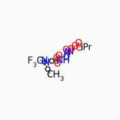 Cc1ccc(-c2cc(C(F)(F)F)nn2-c2ccc(S(=O)(=O)NC(=O)C3CCCN([N+]([O-])=NOCOC(=O)OC(C)C)C3)cc2)cc1